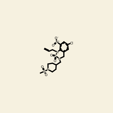 C=CCN1c2c(cc(Cl)cc2[N+](=O)[O-])CN(CC2CCN(S(C)(=O)=O)CC2)S1(=O)=O